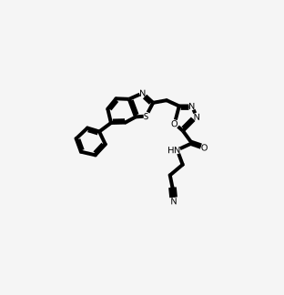 N#CCCNC(=O)c1nnc(Cc2nc3ccc(-c4ccccc4)cc3s2)o1